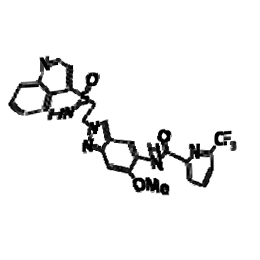 COc1cc2nn(CCS(=N)(=O)c3ccnc4ccccc34)cc2cc1NC(=O)c1cccc(C(F)(F)F)n1